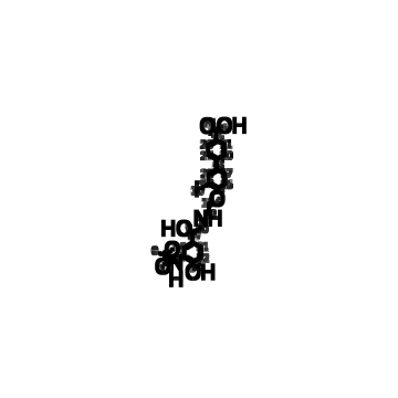 CS(=O)(=O)Nc1cc([C@H](O)CNCCOc2ccc(-c3ccc(C(=O)O)cc3)cc2F)ccc1O